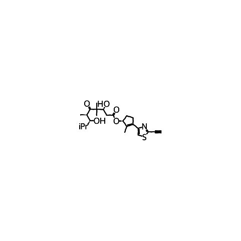 C#Cc1nc(C2=C(C)[C@@H](OC(=O)C[C@H](O)C(C)(C)C(=O)[C@H](C)[C@@H](O)C(C)C)CC2)cs1